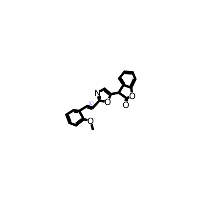 COc1ccccc1/C=C/c1ncc(C2C(=O)Oc3ccccc32)o1